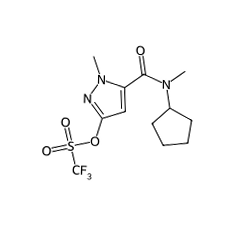 CN(C(=O)c1cc(OS(=O)(=O)C(F)(F)F)nn1C)C1CCCC1